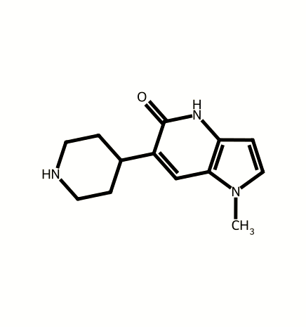 Cn1ccc2[nH]c(=O)c(C3CCNCC3)cc21